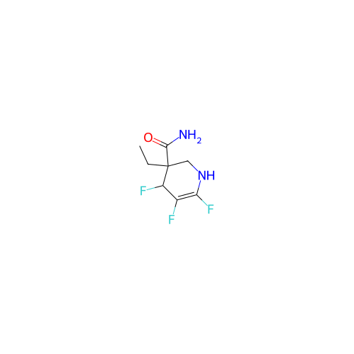 CCC1(C(N)=O)CNC(F)=C(F)C1F